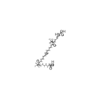 CC(C)(C)N(CCCCCNC(=O)O)C(=O)CCCCCSSCCCCCC(=O)N(CCCCCNC(=O)O)C(C)(C)C